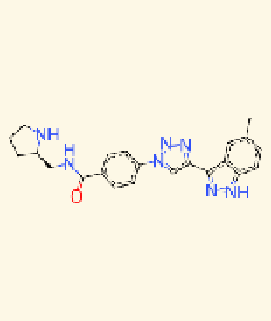 Cc1ccc2[nH]nc(-c3cn(-c4ccc(C(=O)NC[C@H]5CCCN5)cc4)nn3)c2c1